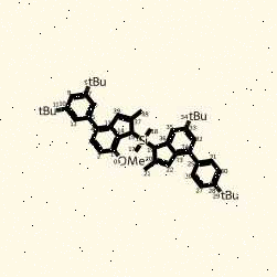 COc1ccc(-c2cc(C(C)(C)C)cc(C(C)(C)C)c2)c2c1C([Si](C)(C)C1C(C)=Cc3c(-c4ccc(C(C)(C)C)cc4)cc(C(C)(C)C)cc31)C(C)=C2